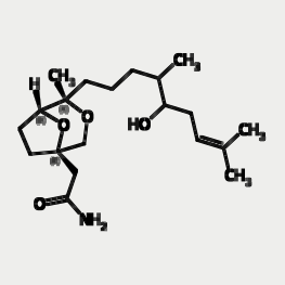 CC(C)=CCC(O)C(C)CCC[C@]1(C)OC[C@]2(CC(N)=O)CC[C@H]1O2